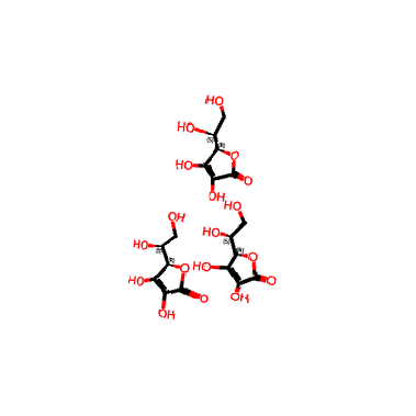 O=C1O[C@H]([C@@H](O)CO)C(O)=C1O.O=C1O[C@H]([C@@H](O)CO)C(O)=C1O.O=C1O[C@H]([C@@H](O)CO)C(O)=C1O